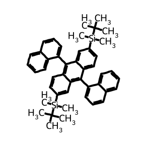 CC(C)(C)[Si](C)(C)c1ccc2c(-c3cccc4ccccc34)c3cc([Si](C)(C)C(C)(C)C)ccc3c(-c3cccc4ccccc34)c2c1